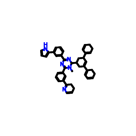 CN1C(c2cccc(C3=NC=CCC3)c2)=NC(c2cccc(-c3ccc[nH]3)c2)=NC1C1CC(C2=CC=CCC2)=CC(C2=CCCC=C2)C1